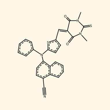 CN1C(=O)C(=Cc2ccc(N(c3ccccc3)c3ccc(C#N)c4ccccc34)s2)C(=O)N(C)C1=S